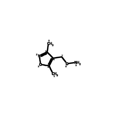 Cc1noc(C)c1CON